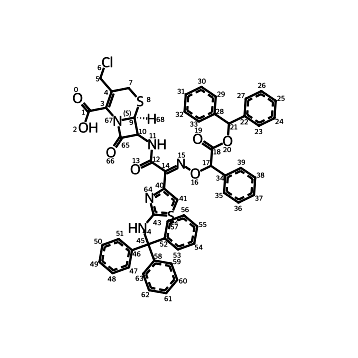 O=C(O)C1=C(CCl)CS[C@H]2C(NC(=O)C(=NOC(C(=O)OC(c3ccccc3)c3ccccc3)c3ccccc3)c3csc(NC(c4ccccc4)(c4ccccc4)c4ccccc4)n3)C(=O)N12